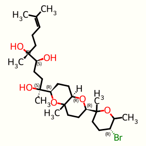 CC(C)=CCC[C@@](C)(O)[C@@H](O)CC[C@](C)(O)[C@H]1CC[C@H]2O[C@@H](C3(C)CC[C@@H](Br)C(C)O3)CCC2(C)O1